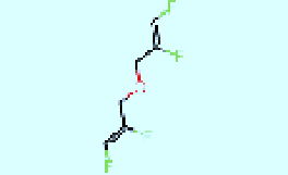 FC=C(F)COCC(F)=CF